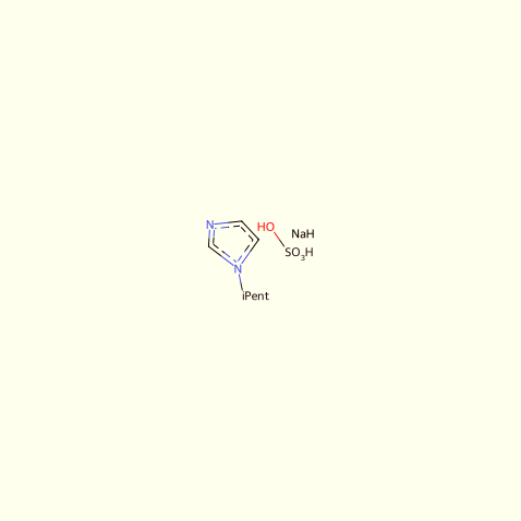 CCCC(C)n1ccnc1.O=S(=O)(O)O.[NaH]